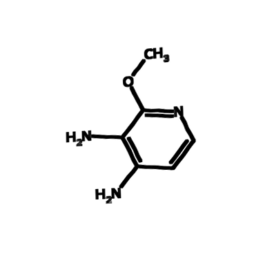 COc1nccc(N)c1N